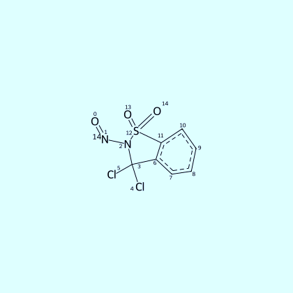 O=[14N]N1C(Cl)(Cl)c2ccccc2S1(=O)=O